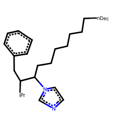 CCCCCCCCCCCCCCCCCC(C(Cc1ccccc1)C(C)C)n1ccnc1